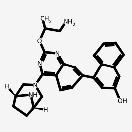 CC(CN)Oc1nc(N2C[C@H]3CC[C@@H](C2)N3)c2ccc(-c3cc(O)cc4ccccc34)cc2n1